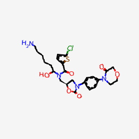 NCCCCCC(O)N(C[C@H]1CN(c2ccc(N3CCOCC3=O)cc2)C(=O)O1)C(=O)c1ccc(Cl)s1